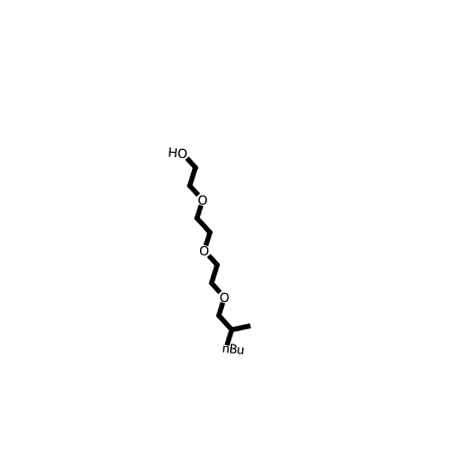 CCCCC(C)COCCOCCOCCO